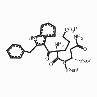 CCCCCCCCC[C@@H](CC(N)=O)N(CCCCC)C(=O)[C@](N)(CCCC(=O)O)C(=O)c1c(Cc2ccccc2)[nH]c2ccccc12